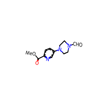 COC(=O)c1ccc(N2CCN(C=O)CC2)cn1